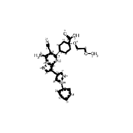 COCCO[C@]1(C(=O)O)CC[C@@H](c2nc3c(-c4cnn(-c5ccccc5)c4)cnn3c(N)c2C#N)CC1